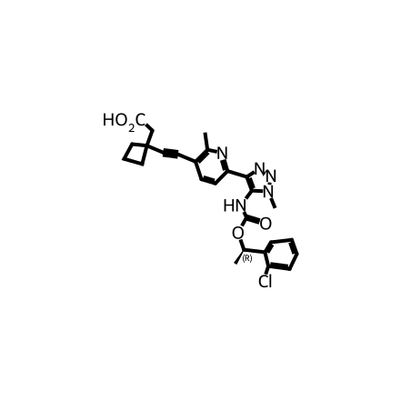 Cc1nc(-c2nnn(C)c2NC(=O)O[C@H](C)c2ccccc2Cl)ccc1C#CC1(CC(=O)O)CCC1